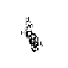 CC(=O)OC1C=C[C@@]2(C)C(=CC[C@@H]3[C@@H]2CC[C@@]2(C)[C@H]3CCC23OCCO3)C1